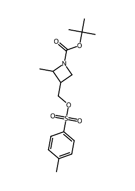 Cc1ccc(S(=O)(=O)OCC2CN(C(=O)OC(C)(C)C)C2C)cc1